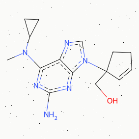 CN(c1nc(N)nc2c1ncn2C1(CO)C=CCC1)C1CC1